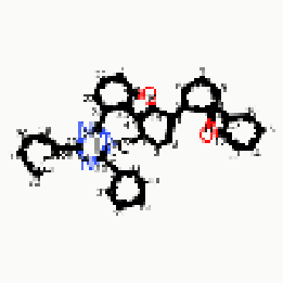 CC1CC=C(c2cccc3c2oc2ccccc23)c2oc3cccc(-c4nc(-c5ccccc5)nc(-c5ccccc5)n4)c3c21